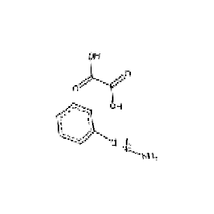 Clc1ccccc1.NN.O=C(O)C(=O)O